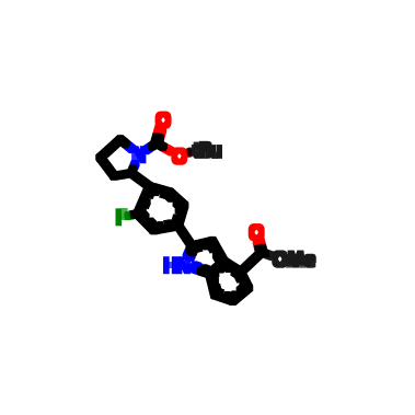 COC(=O)c1cccc2[nH]c(-c3ccc(C4CCCN4C(=O)OC(C)(C)C)c(F)c3)cc12